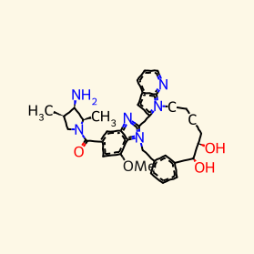 COc1cc(C(=O)N2C[C@@H](C)[C@@H](N)[C@H]2C)cc2nc3n(c12)Cc1cccc(c1)[C@H](O)[C@H](O)CCCCn1c-3cc2cccnc21